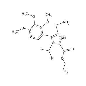 CCOC(=O)c1[nH]c(CN)c(-c2ccc(OC)c(OC)c2OC)c1C(F)F